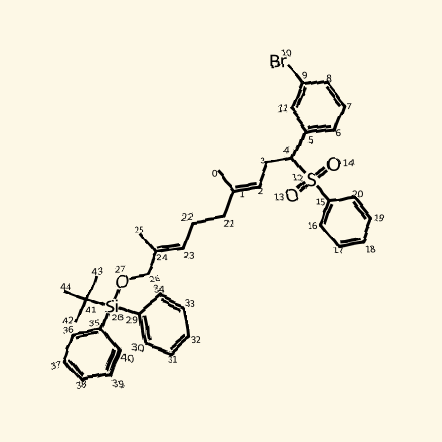 C/C(=C\CC(c1cccc(Br)c1)S(=O)(=O)c1ccccc1)CC/C=C(\C)CO[Si](c1ccccc1)(c1ccccc1)C(C)(C)C